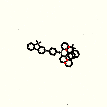 CC1(C)c2ccccc2-c2ccc(-c3ccc(N(c4ccccc4C4C=CC=C5C=CC=C(c6ccccc6)C54)c4cccc5c4-c4ccccc4C5(C)C)cc3)cc21